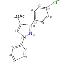 CC(=O)Oc1cn(-c2ccccc2)nc1-c1ccc(Cl)cc1